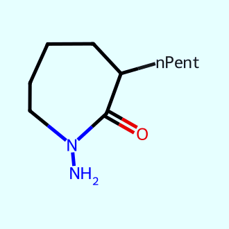 CCCCCC1CCCCN(N)C1=O